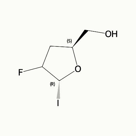 OC[C@@H]1CC(F)[C@@H](I)O1